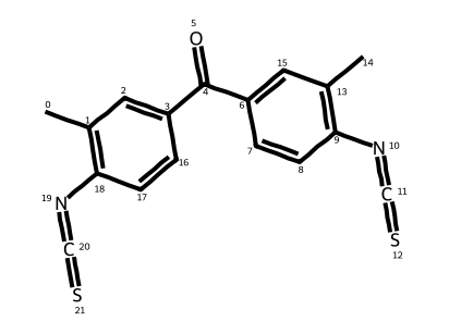 Cc1cc(C(=O)c2ccc(N=C=S)c(C)c2)ccc1N=C=S